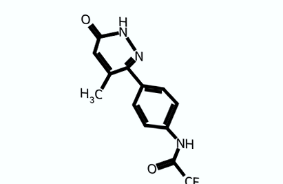 Cc1cc(=O)[nH]nc1-c1ccc(NC(=O)C(F)(F)F)cc1